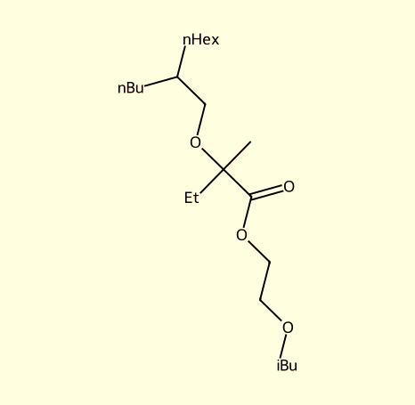 CCCCCCC(CCCC)COC(C)(CC)C(=O)OCCOC(C)CC